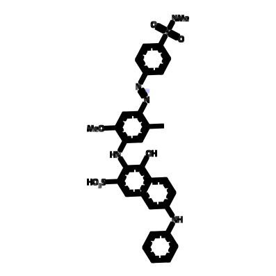 CNS(=O)(=O)c1ccc(/N=N/c2cc(OC)c(Nc3c(S(=O)(=O)O)cc4cc(Nc5ccccc5)ccc4c3O)cc2C)cc1